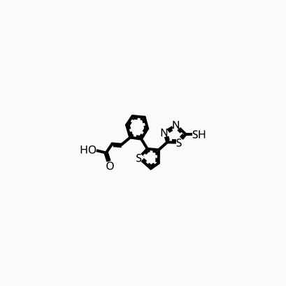 O=C(O)C=Cc1ccccc1-c1sccc1-c1nnc(S)s1